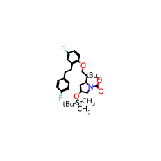 CC(C)(C)OC(=O)N1CC(O[Si](C)(C)C(C)(C)C)CC1CCOc1ccc(F)cc1CCc1ccc(F)cc1